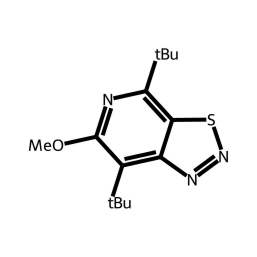 COc1nc(C(C)(C)C)c2snnc2c1C(C)(C)C